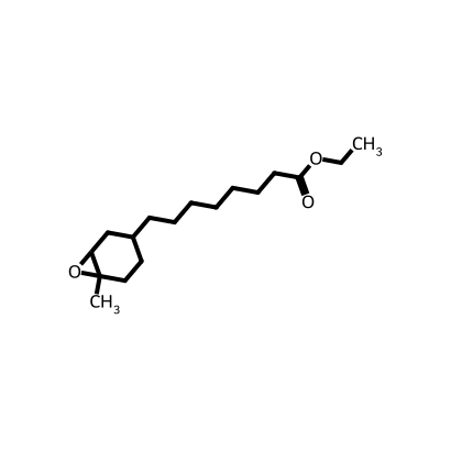 CCOC(=O)CCCCCCCC1CCC2(C)OC2C1